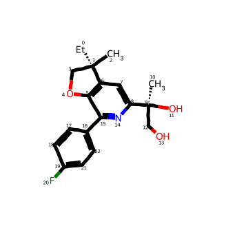 CC[C@@]1(C)COc2c1cc([C@@](C)(O)CO)nc2-c1ccc(F)cc1